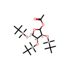 CC(=O)OC1O[C@@H](O[Si](C)(C)C(C)(C)C)[C@H](O[Si](C)(C)C(C)(C)C)[C@@H]1O[Si](C)(C)C(C)(C)C